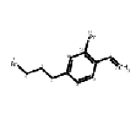 C=Cc1ccc(CCCBr)cc1C(C)C